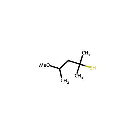 COC(C)CC(C)(C)S